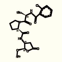 CCCO[C@@H]1OC(=O)C[C@@H]1NC(=O)[C@@H]1CCCN1C(=O)[C@@H](NC(=O)c1ccccc1Cl)C(C)(C)C